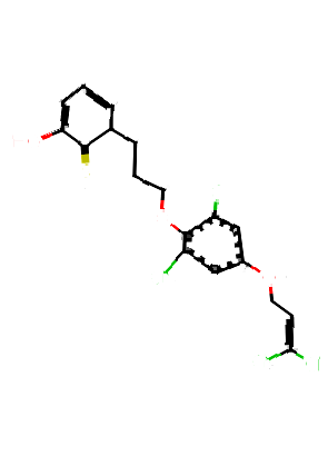 OC1=CC=CC(CCCOc2c(Cl)cc(OCC=C(Cl)Cl)cc2Cl)C1=S